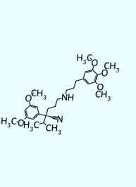 COc1cc(OC)cc([C@](C#N)(CCCNCCCc2cc(OC)c(OC)c(OC)c2)C(C)C)c1